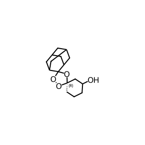 OC1CCC[C@]2(C1)OOC1(O2)C2CC3CC(C2)CC1C3